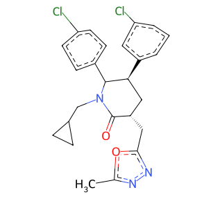 Cc1nnc(C[C@H]2C[C@H](c3cccc(Cl)c3)C(c3ccc(Cl)cc3)N(CC3CC3)C2=O)o1